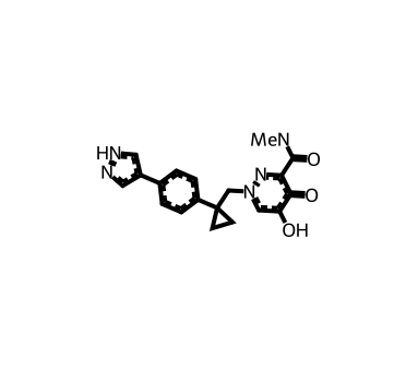 CNC(=O)c1nn(CC2(c3ccc(-c4cn[nH]c4)cc3)CC2)cc(O)c1=O